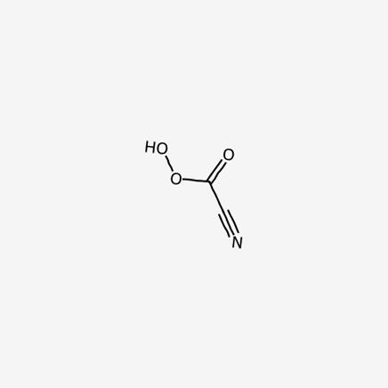 N#CC(=O)OO